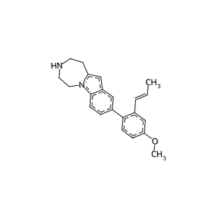 CC=Cc1cc(OC)ccc1-c1ccc2c(c1)cc1n2CCNCC1